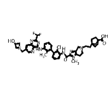 Cc1c(Nc2nc(C(F)F)nc3cc(CN4CC(O)C4)cnc23)cccc1-c1cccc(NC(=O)c2nc3c(n2C)CCN(CCC24CCC(C(=O)O)(CC2)C4)C3)c1Cl